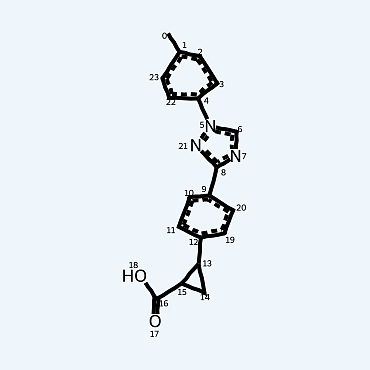 Cc1ccc(-n2cnc(-c3ccc(C4CC4C(=O)O)cc3)n2)cc1